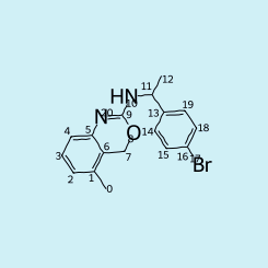 Cc1cccc2c1COC(NC(C)c1ccc(Br)cc1)=N2